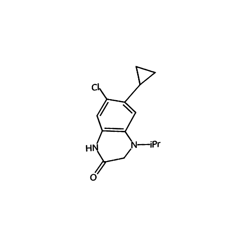 CC(C)N1CC(=O)Nc2cc(Cl)c(C3CC3)cc21